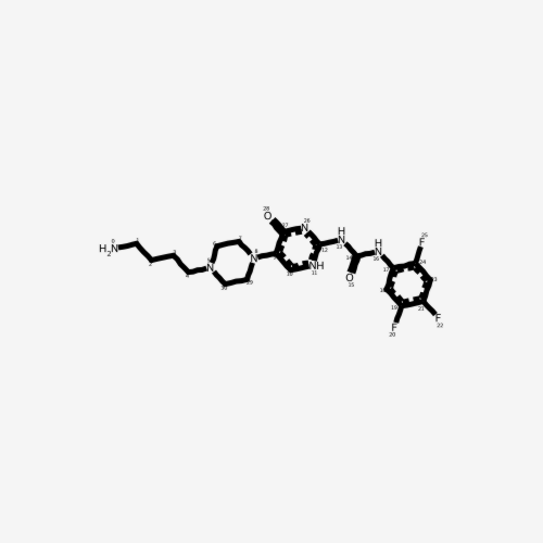 NCCCCN1CCN(c2c[nH]c(NC(=O)Nc3cc(F)c(F)cc3F)nc2=O)CC1